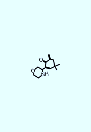 C=C1CC(C)(C)C=C(C2COCCN2)C1=O